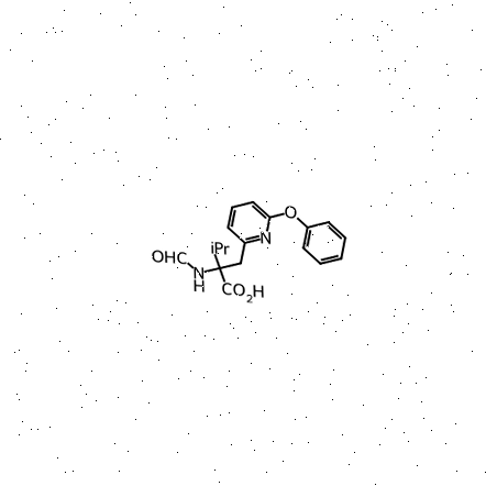 CC(C)C(Cc1cccc(Oc2ccccc2)n1)(NC=O)C(=O)O